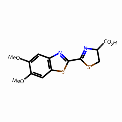 COc1cc2nc(C3=NC(C(=O)O)CS3)sc2cc1OC